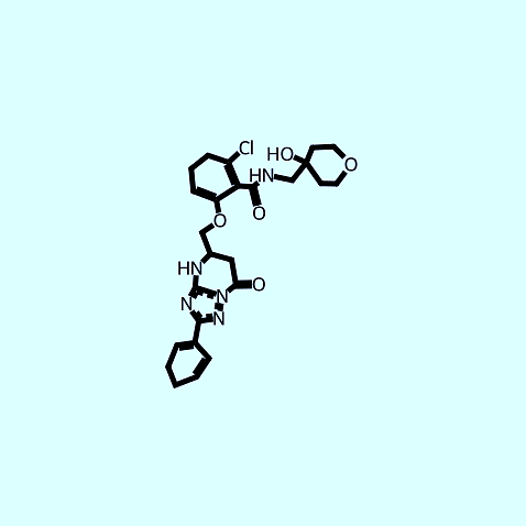 O=C(NCC1(O)CCOCC1)C1=C(Cl)CCC=C1OCC1CC(=O)n2nc(C3=CCCC=C3)nc2N1